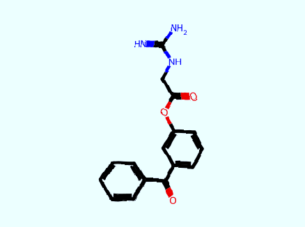 N=C(N)NCC(=O)Oc1cccc(C(=O)c2ccccc2)c1